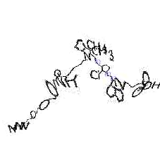 CC1(C)c2ccccc2N(CCCCCC(=O)NCCOCCOCCOCCN=[N+]=[N-])C1/C=C/C1=C(Cl)C(=C/C=c2\c3cccc4cccc(c43)n2CCCS(=O)(=O)O)/CC1